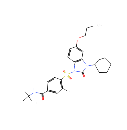 CCC(C)(C)NC(=O)c1ccc(S(=O)(=O)n2c(=O)n(C3CCCCC3)c3cc(OCCOC)ccc32)c(OC)c1